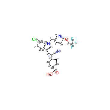 N#C/C(=C\c1cn(Cc2ccc(OCC(F)(F)F)nc2)c2cc(Cl)ccc12)c1ccc(C(=O)O)cc1